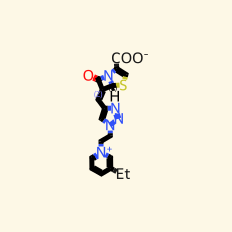 CCc1ccc[n+](CCn2cc(/C=C3/C(=O)N4C(C(=O)[O-])=CS[C@H]34)nn2)c1